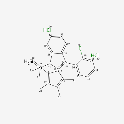 CC1=C(C)C(C)[C]([Zr]([CH3])([CH3])(=[SiH2])[CH]2C=C(c3ccccc3F)c3ccccc32)=C1C.Cl.Cl